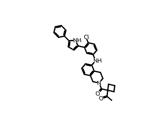 CC(=O)C1(C(=O)N2CCc3c(cccc3Nc3ccc(Cl)c(-c4ccc(-c5ccccc5)[nH]4)c3)C2)CCC1